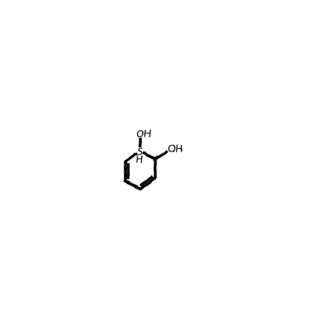 OC1C=CC=C[SH]1O